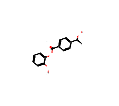 CCCCOc1ccccc1OC(=O)c1ccc(C(C)OCC)cc1